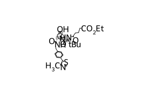 CCOC(=O)CCCC(=O)N[C@H](C(=O)N1C[C@H](O)C[C@H]1C(=O)NCc1ccc(-c2scnc2C)cc1)C(C)(C)C